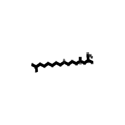 CC(C)CCCCCCOCCCNCC(C)N